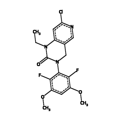 CCN1C(=O)N(c2c(F)c(OC)cc(OC)c2F)Cc2cnc(Cl)cc21